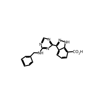 O=C(O)c1cccc2c(-c3ncnc(NCc4ccccc4)n3)n[nH]c12